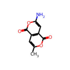 Cc1cc2c(=O)oc(N)cc2c(=O)o1